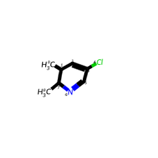 CC1C=C(Cl)C=NC1C